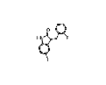 O=C1Nc2ccc(I)cc2C1=Cc1ccccc1F